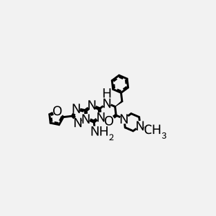 CN1CCN(C(=O)[C@H](Cc2ccccc2)Nc2nc(N)n3nc(-c4ccco4)nc3n2)CC1